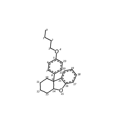 CCCCOc1ccc(C23CCCCC2Oc2ccccc23)cc1